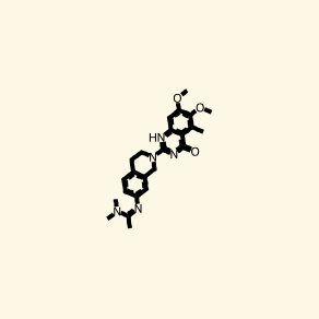 COc1cc2[nH]c(N3CCc4ccc(N=C(C)N(C)C)cc4C3)nc(=O)c2c(C)c1OC